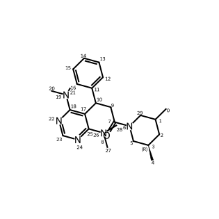 CC1C[C@@H](C)CN(C(=O)CC(c2ccccc2)c2c(N(C)C)ncnc2N(C)C)C1